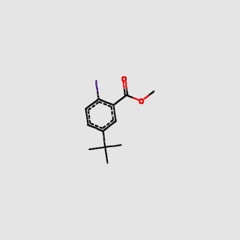 COC(=O)c1cc(C(C)(C)C)ccc1I